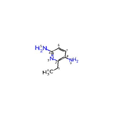 CCc1nc(N)ccc1N